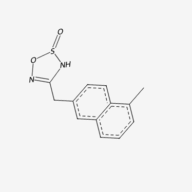 Cc1cccc2cc(CC3=NOS(=O)N3)ccc12